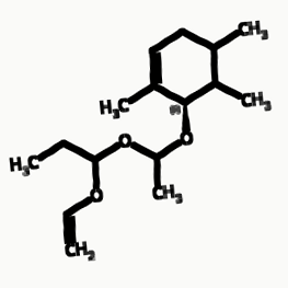 C=COC(CC)OC(C)O[C@H]1C(C)=CCC(C)C1C